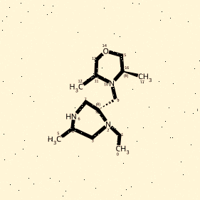 CCN1CC(C)NC[C@@H]1CN1C(C)COC[C@H]1C